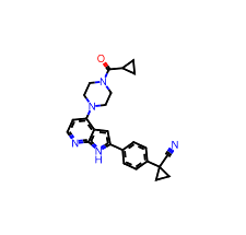 N#CC1(c2ccc(-c3cc4c(N5CCN(C(=O)C6CC6)CC5)ccnc4[nH]3)cc2)CC1